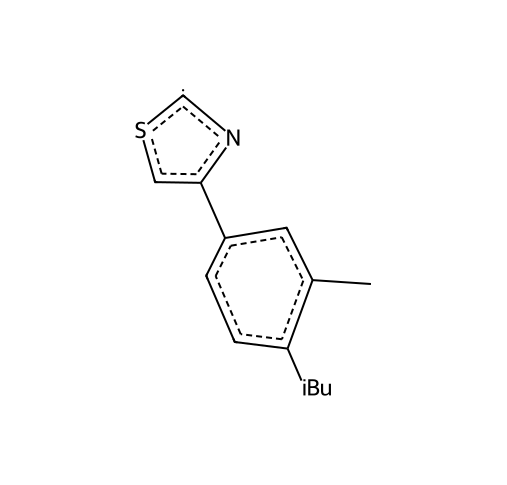 CCC(C)c1ccc(-c2cs[c]n2)cc1C